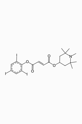 CN1C(C)(C)CC(OC(=O)/C=C/C(=O)Oc2c(I)cc(I)cc2I)CC1(C)C